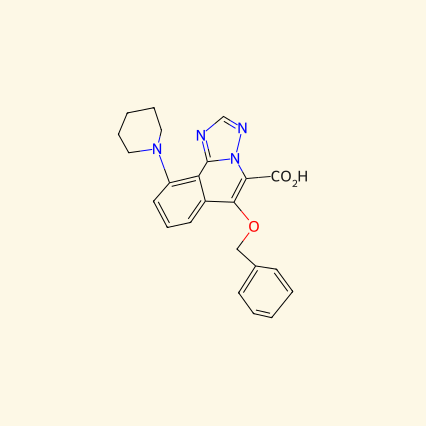 O=C(O)c1c(OCc2ccccc2)c2cccc(N3CCCCC3)c2c2ncnn12